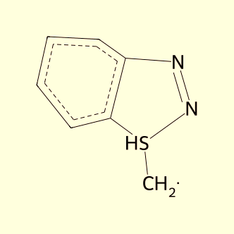 [CH2][SH]1N=Nc2ccccc21